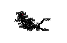 CCCCCCCCCCCCC/C=C/[C@@H](O)[C@H](CO[C@@H]1OC(CO)[C@@H](O[C@@H]2OC(CO)[C@H](O)[C@H](O[C@@H]3OC(CO)[C@@H](O[C@@H]4OC(CO[C@@H]5OC(CO)[C@@H](O)[C@H](O)C5NC(C)=O)[C@H](O)[C@H](O[C@@H]5OC(CO)[C@@H](O[C@@H]6OC(CO)[C@H](O)[C@H](O)C6O)[C@H](O)C5NC(C)=O)C4O)[C@H](O)C3NC(C)=O)C2O)[C@H](O)C1O)NC(=O)CCCCCCCCCCCCCCCCCCC